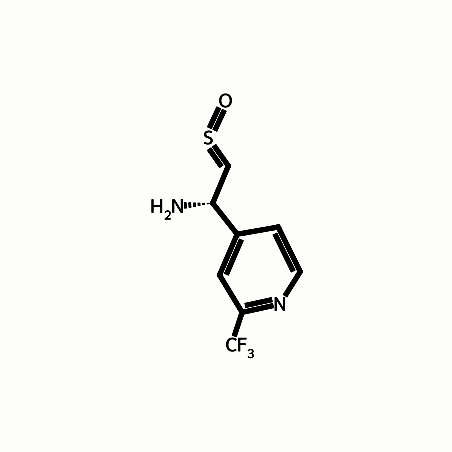 N[C@H](C=S=O)c1ccnc(C(F)(F)F)c1